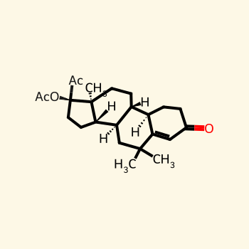 CC(=O)O[C@]1(C(C)=O)CC[C@H]2[C@@H]3CC(C)(C)C4=CC(=O)CC[C@@H]4[C@H]3CC[C@@]21C